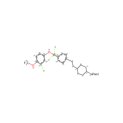 CCCCCC1CCC(CCc2ccc(C(F)(F)Oc3ccc(OC(F)(F)F)c(F)c3)cc2)CC1